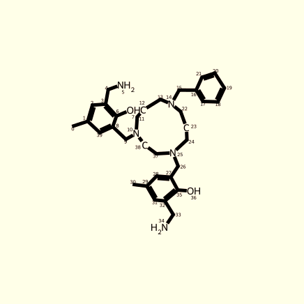 Cc1cc(CN)c(O)c(CN2CCCN(Cc3ccccc3)CCCN(Cc3cc(C)cc(CN)c3O)CC2)c1